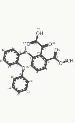 COC(=O)c1cccc(Nc2ccccc2Oc2ccccc2)c1C(=O)C(=O)O